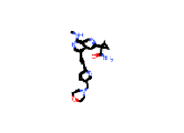 CNc1ncc(C#Cc2ccc(CN3CCOCC3)cn2)c2cc(C3(C(N)=O)CC3)ncc12